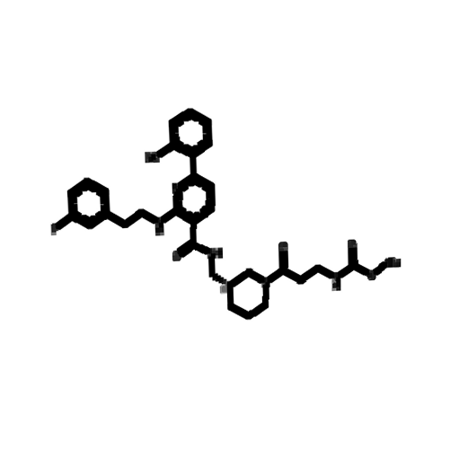 CC(C)(C)OC(=O)NCCC(=O)N1CCC[C@H](CNC(=O)c2ccc(-c3ccccc3C#N)nc2NCCc2cccc(F)c2)C1